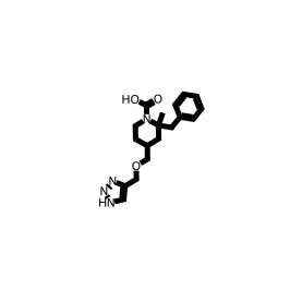 CC1(Cc2ccccc2)CC(COCc2c[nH]nn2)CCN1C(=O)O